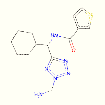 NCn1nnc([C@@H](NC(=O)c2ccsc2)C2CCCCC2)n1